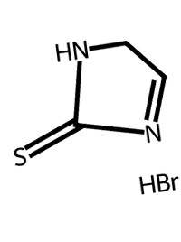 Br.S=C1N=CCN1